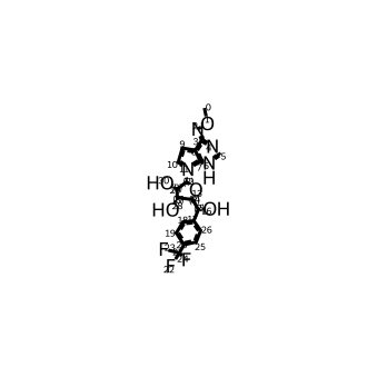 CON=c1nc[nH]c2c1ccn2[C@@H]1O[C@H]([C@H](O)c2ccc(C(F)(F)F)cc2)[C@@H](O)[C@H]1O